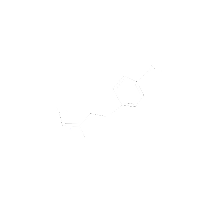 C/C=C(/F)COc1ccc([N+](=O)[O-])cc1